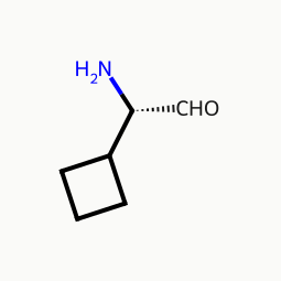 N[C@H](C=O)C1CCC1